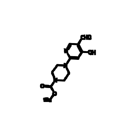 CC(C)(C)OC(=O)N1CCN(c2cc(O)c(C=O)cn2)CC1